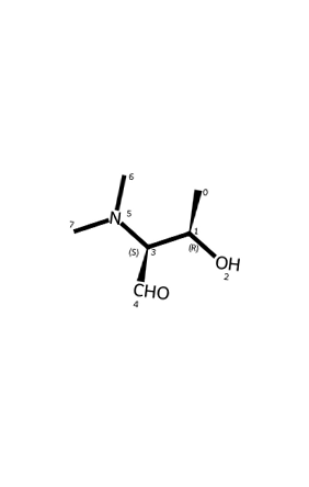 C[C@@H](O)[C@@H](C=O)N(C)C